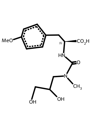 COc1ccc(C[C@H](NC(=O)N(C)CC(O)CO)C(=O)O)cc1